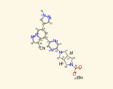 Cn1cc(-c2cc(-c3cnc(N4C[C@H]5CN(C(=O)OC(C)(C)C)C[C@H]5C4)cn3)c3c(C#N)cnn3c2)cn1